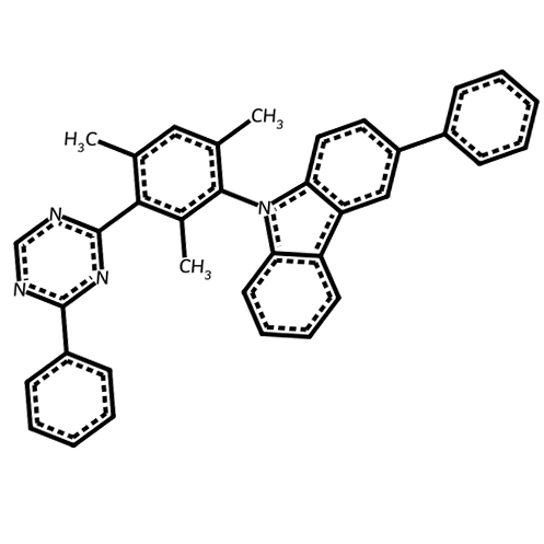 Cc1cc(C)c(-n2c3ccccc3c3cc(-c4ccccc4)ccc32)c(C)c1-c1ncnc(-c2ccccc2)n1